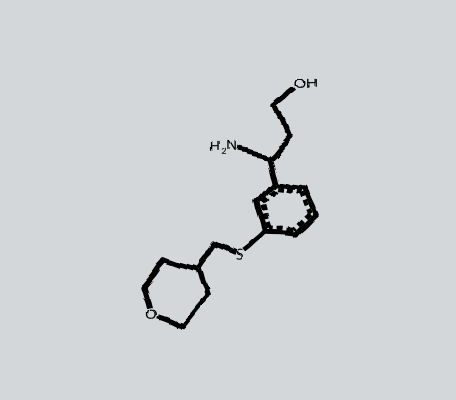 NC(CCO)c1cccc(SCC2CCOCC2)c1